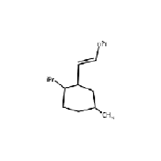 CCC/C=C/C1CC(C)CCC1C(C)C